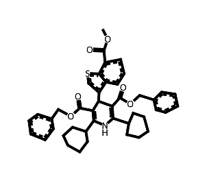 COC(=O)c1cccc2c(C3C(C(=O)OCc4ccccc4)=C(C4CCCCC4)NC(C4CCCCC4)=C3C(=O)OCc3ccccc3)csc12